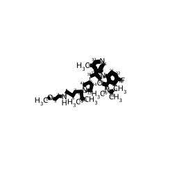 COCCNCCCC(C(C)C)N1CC[C@@H](Cc2cn(-c3ccc(F)cc3C(=O)N(C)C(C)C)c3cncc(C)c23)C1